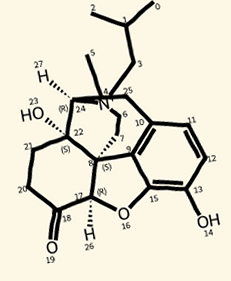 CC(C)C[N+]1(C)CC[C@]23c4c5ccc(O)c4O[C@H]2C(=O)CC[C@@]3(O)[C@H]1C5